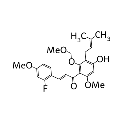 COCOc1c(CC=C(C)C)c(O)cc(OC)c1C(=O)/C=C/c1ccc(OC)cc1F